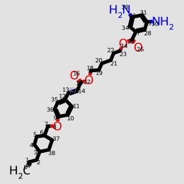 C=CCC1CCC(COc2ccc(/C=C/C(=O)OCCCCCCOC(=O)c3cc(N)cc(N)c3)cc2)CC1